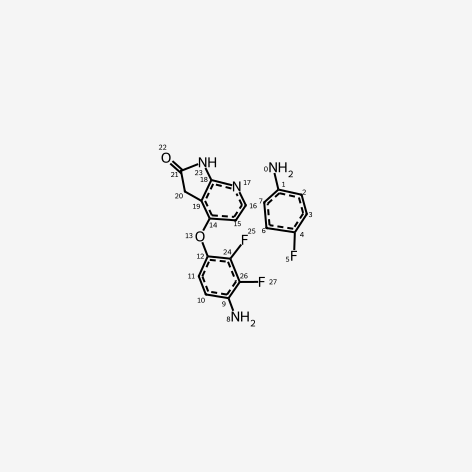 Nc1ccc(F)cc1.Nc1ccc(Oc2ccnc3c2CC(=O)N3)c(F)c1F